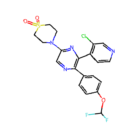 O=S1(=O)CCN(c2cnc(-c3ccc(OC(F)F)cc3)c(-c3ccncc3Cl)n2)CC1